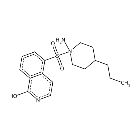 CCCC1CC[N+](N)(S(=O)(=O)c2cccc3c(O)nccc23)CC1